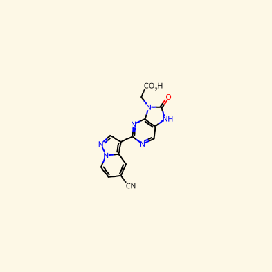 N#Cc1ccn2ncc(-c3ncc4[nH]c(=O)n(CC(=O)O)c4n3)c2c1